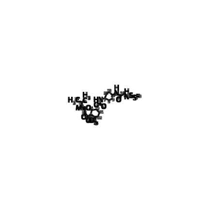 COC1C(OC(=O)NC2CCC(NC(=O)CNSSF)CC2)CCC2(CO2)C1[C@]1(C)OC1CC=C(C)C